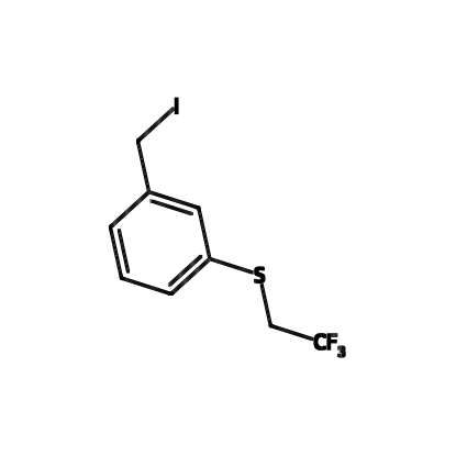 FC(F)(F)CSc1cccc(CI)c1